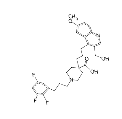 COc1ccc2ncc(CO)c(CCCC3(C(=O)O)CCN(CCCc4cc(F)cc(F)c4F)CC3)c2c1